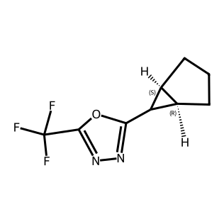 FC(F)(F)c1nnc(C2[C@H]3CCC[C@@H]23)o1